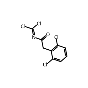 O=C(Cc1c(Cl)cccc1Cl)N=C(Cl)Cl